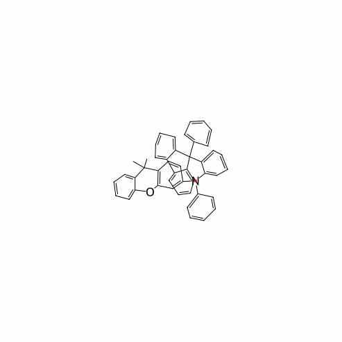 CC1(C)c2ccccc2Oc2cc(N(c3ccccc3)c3ccccc3C3(c4ccccc4)c4ccccc4-c4ccccc43)ccc21